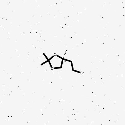 CC1(C)OC[C@](C)(CCBr)O1